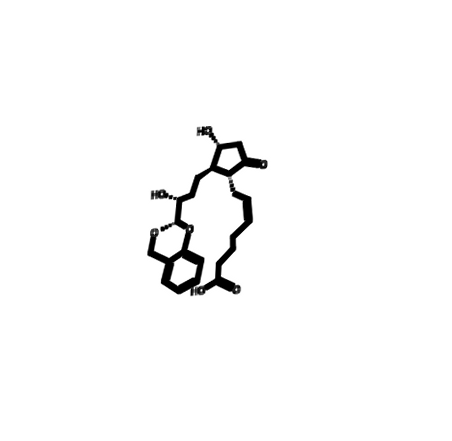 O=C(O)CCC/C=C\C[C@H]1C(=O)C[C@@H](O)[C@@H]1CC[C@@H](O)[C@H]1OCc2ccccc2O1